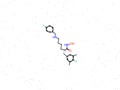 Cc1cc(C[C@H](CCCCNCc2ccc(F)cc2)C(=O)NO)cc(C)c1F